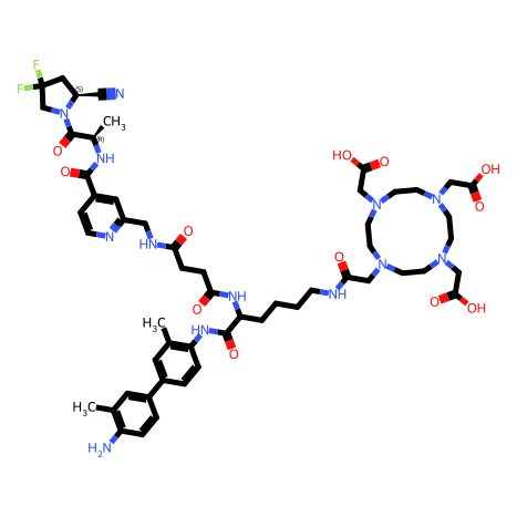 Cc1cc(-c2ccc(NC(=O)C(CCCCNC(=O)CN3CCN(CC(=O)O)CCN(CC(=O)O)CCN(CC(=O)O)CC3)NC(=O)CCC(=O)NCc3cc(C(=O)N[C@H](C)C(=O)N4CC(F)(F)C[C@H]4C#N)ccn3)c(C)c2)ccc1N